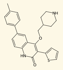 Cc1ccc(-c2ccc3[nH]c(=O)c(-c4cccs4)c(OCC4CCNCC4)c3c2)cc1